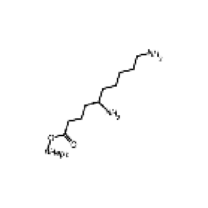 CCCCCCCOC(=O)CCCC(N)CCCCCN